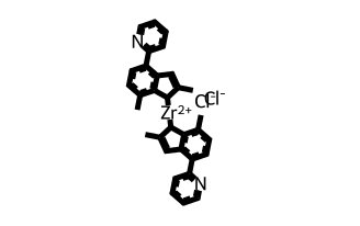 CC1=Cc2c(-c3ccccn3)ccc(C)c2[CH]1[Zr+2][CH]1C(C)=Cc2c(-c3ccccn3)ccc(C)c21.[Cl-].[Cl-]